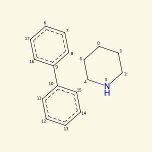 C1CCNCC1.c1ccc(-c2ccccc2)cc1